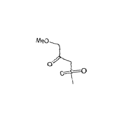 COCC(=O)CS(C)(=O)=O